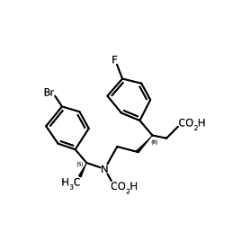 C[C@@H](c1ccc(Br)cc1)N(CC[C@H](CC(=O)O)c1ccc(F)cc1)C(=O)O